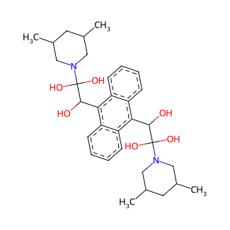 CC1CC(C)CN(C(O)(O)C(O)c2c3ccccc3c(C(O)C(O)(O)N3CC(C)CC(C)C3)c3ccccc23)C1